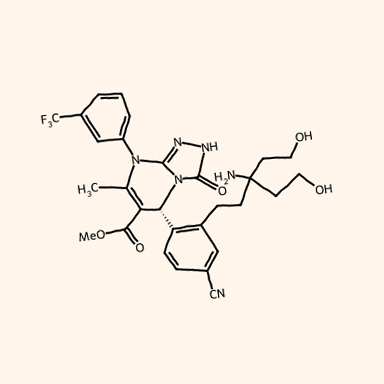 COC(=O)C1=C(C)N(c2cccc(C(F)(F)F)c2)c2n[nH]c(=O)n2[C@@H]1c1ccc(C#N)cc1CCC(N)(CCO)CCO